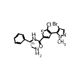 Cn1ncc(Br)c1-c1cc(C(=O)N[C@H](CN)c2ccccc2)sc1Cl